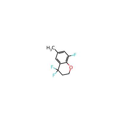 Cc1cc(F)c2c(c1)C(F)(F)CCO2